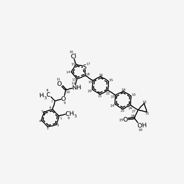 Cc1ccccc1C(C)OC(=O)Nc1cc(Cl)sc1-c1ccc(-c2ccc(C3(C(=O)O)CC3)cc2)cc1